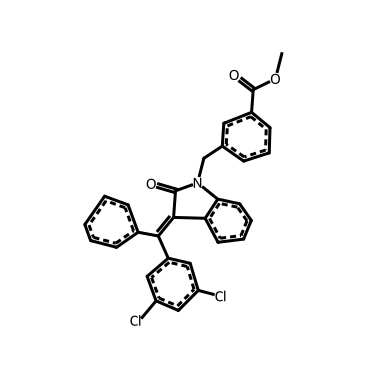 COC(=O)c1cccc(CN2C(=O)/C(=C(\c3ccccc3)c3cc(Cl)cc(Cl)c3)c3ccccc32)c1